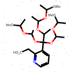 COC(C)OC(C)OC(C)C(OC(C)OC(C)OC)(OC(C)OC(C)OC)c1cccnc1CC(=O)O